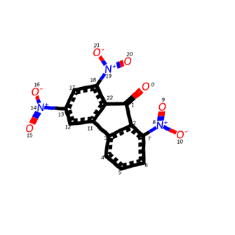 O=C1c2c(cccc2[N+](=O)[O-])-c2cc([N+](=O)[O-])cc([N+](=O)[O-])c21